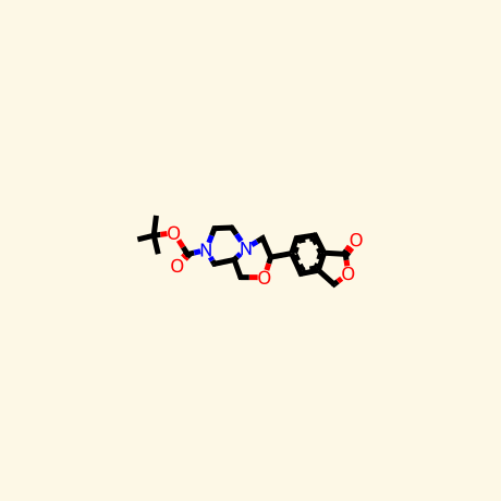 CC(C)(C)OC(=O)N1CCN2CC(c3ccc4c(c3)COC4=O)OCC2C1